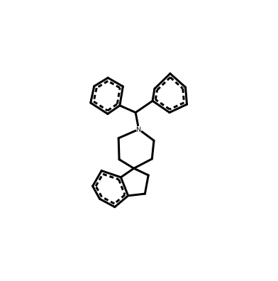 c1ccc(C(c2ccccc2)N2CCC3(CCc4ccccc43)CC2)cc1